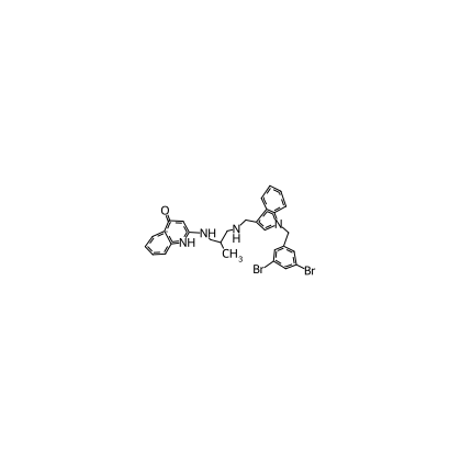 CC(CNCc1cn(Cc2cc(Br)cc(Br)c2)c2ccccc12)CNc1cc(=O)c2ccccc2[nH]1